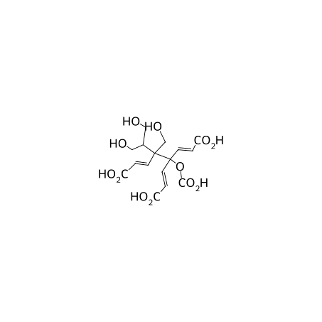 O=C(O)C=CC(C=CC(=O)O)(OC(=O)O)C(C=CC(=O)O)(CO)C(CO)CO